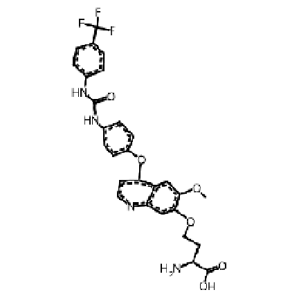 COc1cc2c(Oc3ccc(NC(=O)Nc4ccc(C(F)(F)F)cc4)cc3)ccnc2cc1OCCC(N)C(=O)O